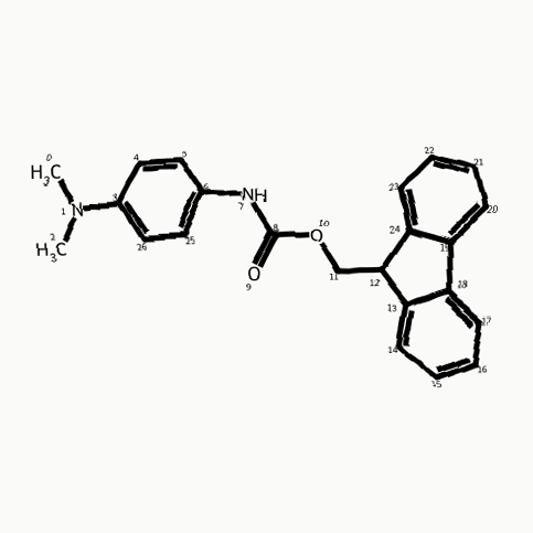 CN(C)c1ccc(NC(=O)OCC2c3ccccc3-c3ccccc32)cc1